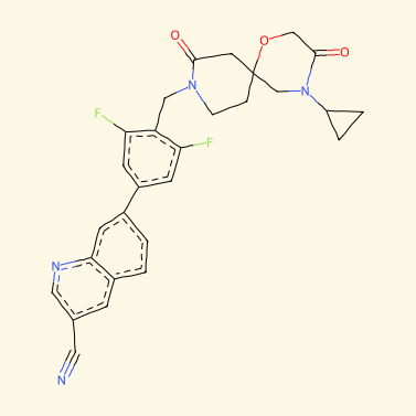 N#Cc1cnc2cc(-c3cc(F)c(CN4CCC5(CC4=O)CN(C4CC4)C(=O)CO5)c(F)c3)ccc2c1